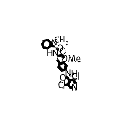 COC(=O)[C@H](Cc1ccc(NC(=O)c2c(Cl)cncc2Cl)cc1)NC(=O)[C@@H]1C2CCCCCC2N1C